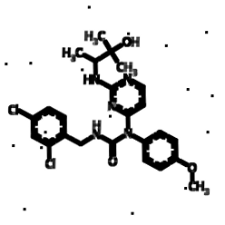 COc1ccc(N(C(=O)NCc2ccc(Cl)cc2Cl)c2ccnc(NC(C)C(C)(C)O)n2)cc1